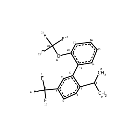 CC(C)c1ccc(C(F)(F)F)cc1-c1ccccc1OC(F)(F)F